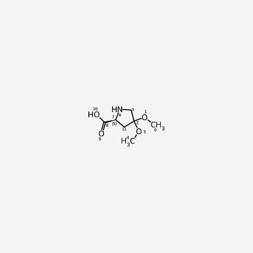 COC1(OC)CN[C@H](C(=O)O)C1